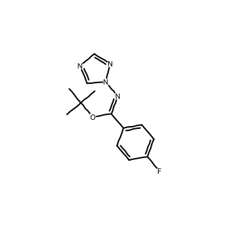 CC(C)(C)OC(=Nn1cncn1)c1ccc(F)cc1